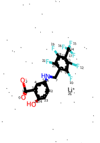 O=C([O-])c1cc(NCc2c(F)c(F)c(C(F)(F)F)c(F)c2F)ccc1O.[Li+]